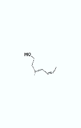 C/C=C\C=C(/C)CCO